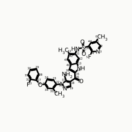 Cc1cnc(F)c(S(=O)(=O)Nc2cc3[nH]c(C(=O)c4cnn(-c5ccc(Oc6ccccc6F)cc5C)c4N)cc3cc2C)c1